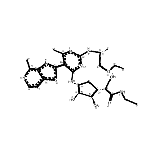 CCNC(=O)C(O)[C@H]1C[C@@H](Nc2nc(N[C@H](C)COCC)nc(C)c2-c2nc3c(C)nccc3s2)[C@H](O)[C@@H]1O